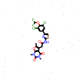 Cc1oc2c(c1CC(=O)Nc1nc(-c3cc(Cl)c(OC(F)F)c(Cl)c3)cs1)c(=O)n(C)c(=O)n2C